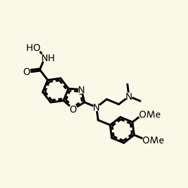 COc1ccc(CN(CCN(C)C)c2nc3cc(C(=O)NO)ccc3o2)cc1OC